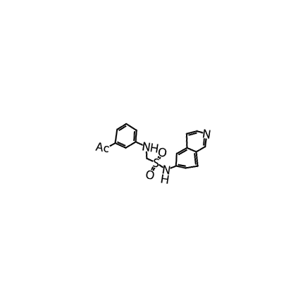 CC(=O)c1cccc(NCS(=O)(=O)Nc2ccc3cnccc3c2)c1